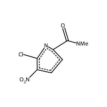 CNC(=O)c1ccc([N+](=O)[O-])c(Cl)n1